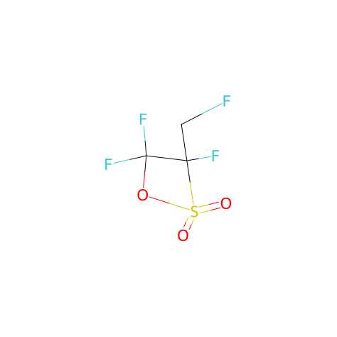 O=S1(=O)OC(F)(F)C1(F)CF